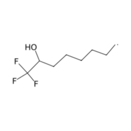 [CH2]CCCCCC(O)C(F)(F)F